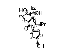 C#Cc1ccc(-n2c(C(C)C)nc3c(C(O)CC)c(O)ccc3c2=O)cc1